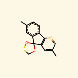 C[C]1=CC2=C([P]=[K]1)c1ccc(C)cc1C21OCSO1